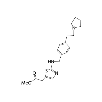 COC(=O)Cc1cnc(NCc2ccc(CCN3CCCC3)cc2)s1